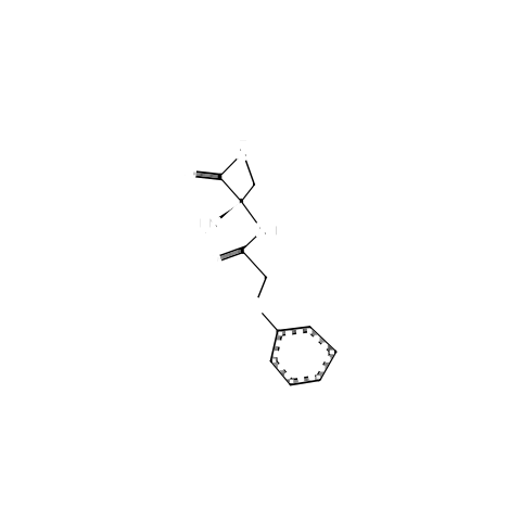 N[C@]1(NC(=O)COc2ccccc2)CNC1=O